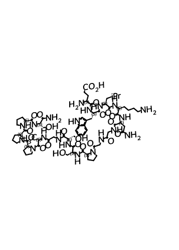 CC(C)C[C@H](NC(=O)[C@H](Cc1c[nH]c2ccccc12)NC(=O)[C@@H](N)CCC(=O)O)C(=O)N[C@@H](CCCCN)C(=O)N[C@@H](CC(N)=O)C(=O)NCC(=O)NCC(=O)N1CCC[C@H]1C(=O)N[C@@H](CO)C(=O)N[C@@H](CO)C(=O)NCC(=O)N[C@@H](C)C(=O)N1CCC[C@H]1C(=O)N1CCC[C@H]1C(=O)N1CCC[C@H]1C(=O)N[C@@H](CO)C(N)=O